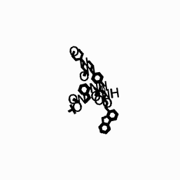 CC(C)(C)OC(=O)n1ccc2c(NC(=O)[C@H](Cc3ccc(N4CCN(C5CCOCC5)CC4=O)cc3)NC(=O)OCc3cccc4c3Cc3ccccc3-4)cccc21